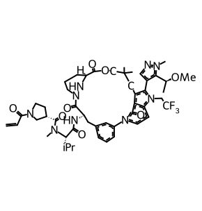 C=CC(=O)N1CC[C@H](C(=O)N(C)[C@H](C(=O)N[C@H]2Cc3cccc(c3)-n3ccc4c(c(c(-c5cnn(C)c5[C@H](C)OC)n4CC(F)(F)F)CC(C)(C)COC(=O)[C@@H]4CCCN(N4)C2=O)c3=O)C(C)C)C1